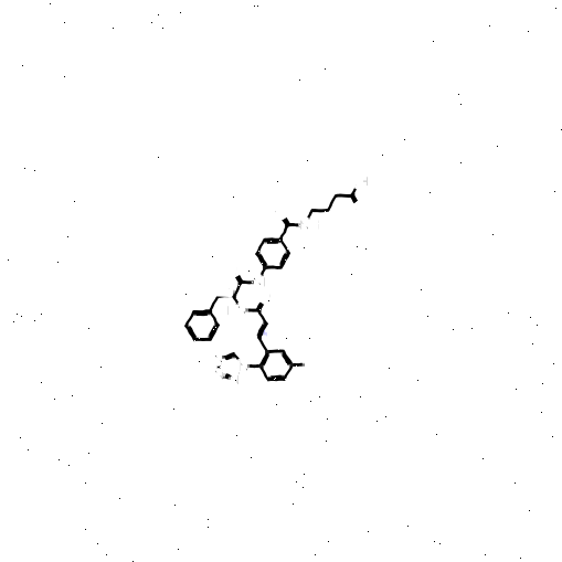 O=C(O)CCCNC(=O)c1ccc(NC(=O)[C@H](Cc2ccccc2)NC(=O)/C=C/c2cc(Cl)ccc2-n2cnnn2)cc1